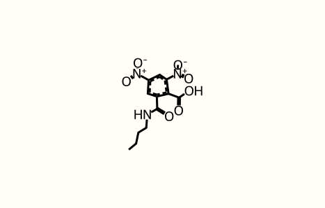 CCCCNC(=O)c1cc([N+](=O)[O-])cc([N+](=O)[O-])c1C(=O)O